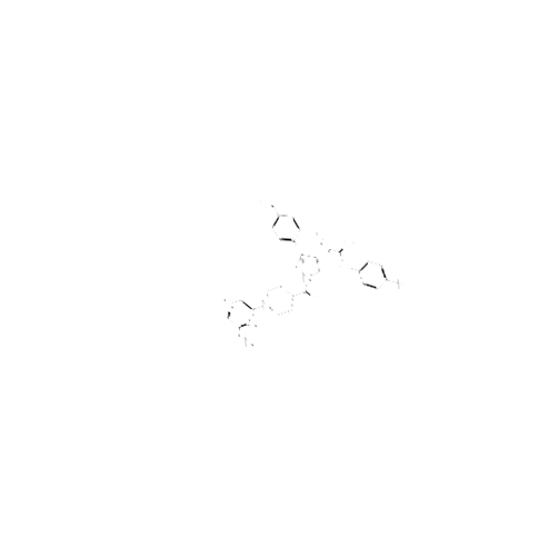 CN(C(=O)Oc1ccc(F)cc1)[C@@H]1CN(C(=O)C2CCN(c3cncc(C#N)n3)CC2)C[C@H]1c1ccc(Cl)cc1